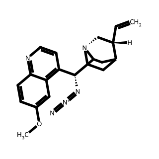 C=C[C@H]1C[N@@]2CCC1CC2[C@H](N=[N+]=[N-])c1ccnc2ccc(OC)cc12